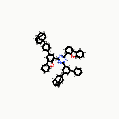 c1ccc(-c2cc(-c3nc(-c4cccc5c4oc4ccccc45)nc(-c4cc(-c5ccc(C67CC8CC(CC(C8)C6)C7)cc5)cc5c4oc4ccccc45)n3)cc(C34CC5CC(CC(C5)C3)C4)c2)cc1